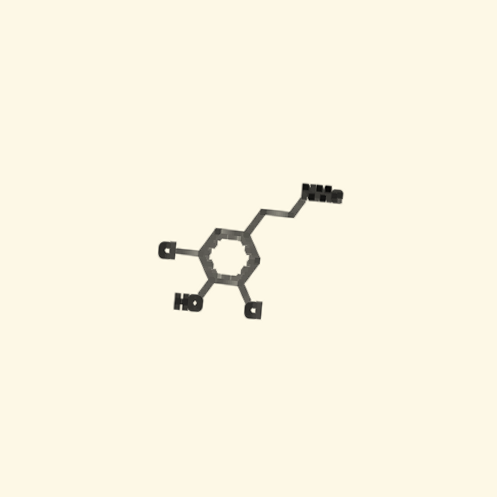 CNCCc1cc(Cl)c(O)c(Cl)c1